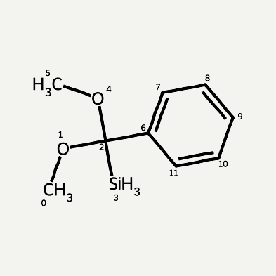 COC([SiH3])(OC)c1ccccc1